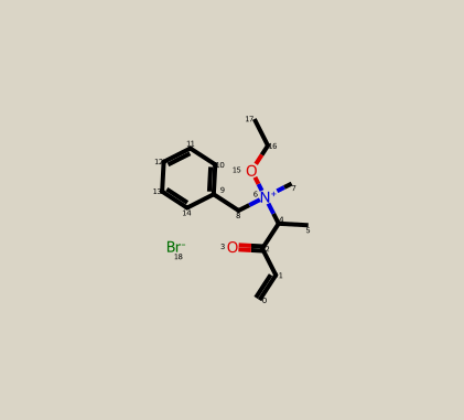 C=CC(=O)C(C)[N+](C)(Cc1ccccc1)OCC.[Br-]